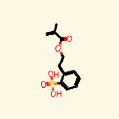 C=C(C)C(=O)OCCc1ccccc1P(=O)(O)O